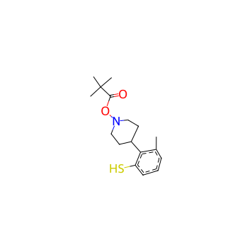 Cc1cccc(S)c1C1CCN(OC(=O)C(C)(C)C)CC1